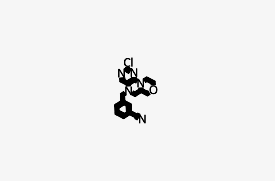 N#Cc1cccc(CN2CC3COCCN3c3nc(Cl)ncc32)c1